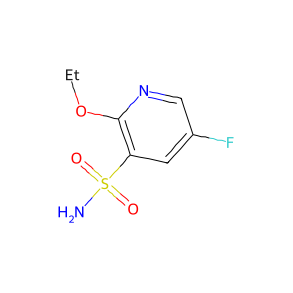 CCOc1ncc(F)cc1S(N)(=O)=O